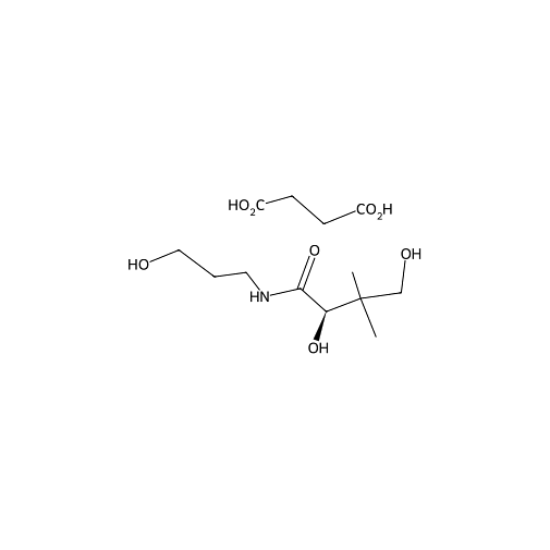 CC(C)(CO)[C@@H](O)C(=O)NCCCO.O=C(O)CCC(=O)O